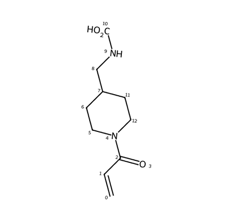 C=CC(=O)N1CCC(CNC(=O)O)CC1